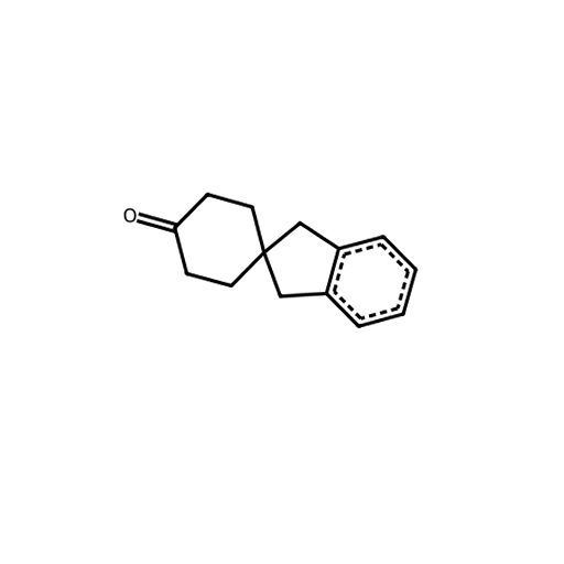 O=C1CCC2(CC1)Cc1ccccc1C2